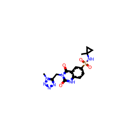 Cn1nnnc1Cn1c(=O)[nH]c2ccc(S(=O)(=O)NC3(C)CC3)cc2c1=O